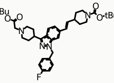 CC(C)(C)OC(=O)CN1CCC(c2nn(Cc3ccc(F)cc3)c3cc(/C=C/C4CCN(C(=O)OC(C)(C)C)CC4)ccc23)CC1